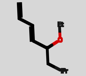 C=CC=C[C](CC(C)C)OCC